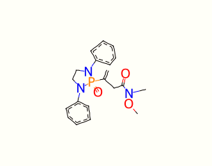 C=C(CC(=O)N(C)OC)P1(=O)N(c2ccccc2)CCN1c1ccccc1